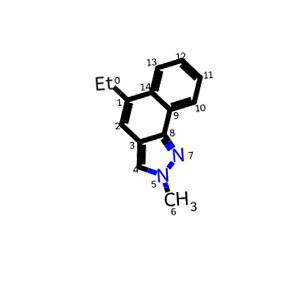 CCc1cc2cn(C)nc2c2ccccc12